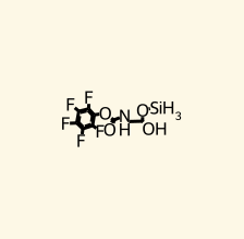 O=C(NCC(O)O[SiH3])Oc1c(F)c(F)c(F)c(F)c1F